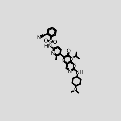 Cc1nc(NS(=O)(=O)c2ccccc2C#N)ccc1-c1nc2cnc(NC3CCC(N(C)C)CC3)nc2n(C(C)C)c1=O